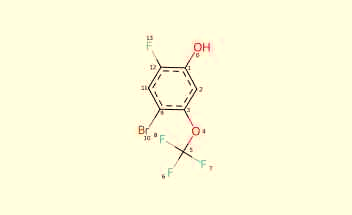 Oc1cc(OC(F)(F)F)c(Br)cc1F